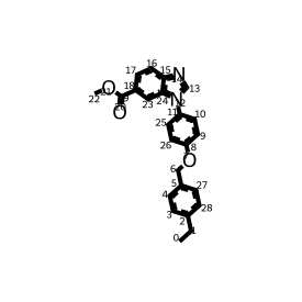 CCc1ccc(COc2ccc(-n3cnc4ccc(C(=O)OC)cc43)cc2)cc1